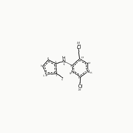 Cc1sccc1Nc1nc(Cl)ncc1Cl